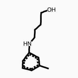 Cc1cccc(NCCCCO)c1